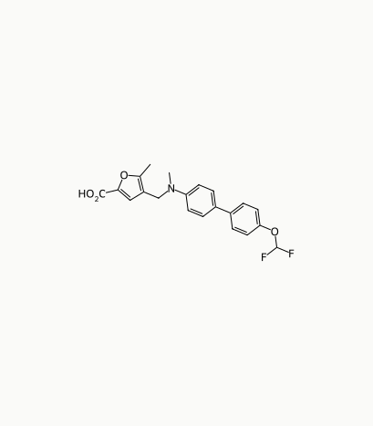 Cc1oc(C(=O)O)cc1CN(C)c1ccc(-c2ccc(OC(F)F)cc2)cc1